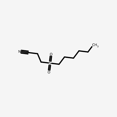 CCCCCCS(=O)(=O)CCC#N